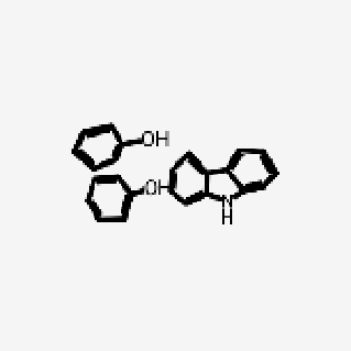 Oc1ccccc1.Oc1ccccc1.c1ccc2c(c1)[nH]c1ccccc12